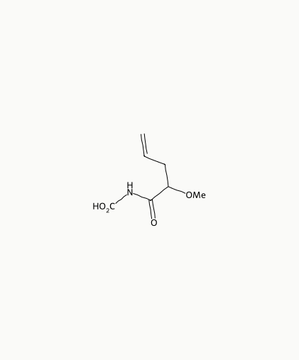 C=CCC(OC)C(=O)NC(=O)O